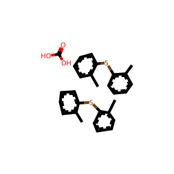 Cc1ccccc1Sc1ccccc1C.Cc1ccccc1Sc1ccccc1C.O=C(O)O